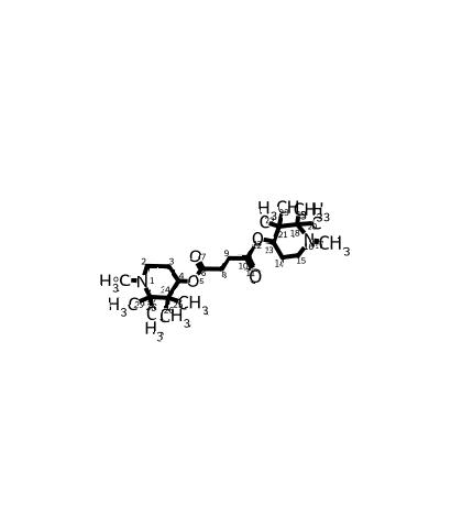 CN1CCC(OC(=O)CCC(=O)OC2CCN(C)C(C)(C)C2(C)C)C(C)(C)C1(C)C